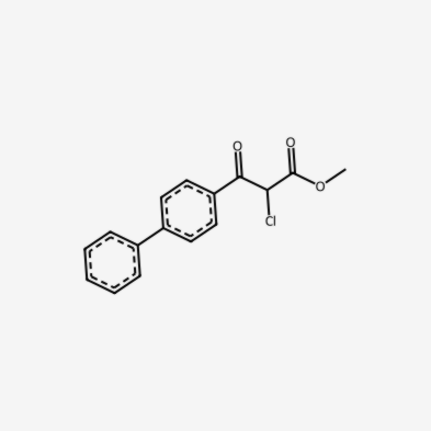 COC(=O)C(Cl)C(=O)c1ccc(-c2ccccc2)cc1